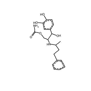 CC(CCc1ccccc1)NC(COC(N)=O)C(O)c1ccc(O)c(O)c1